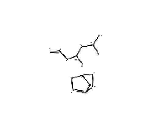 C1=C2CCC(C1)C2.C=CCC(C)CC(C)C